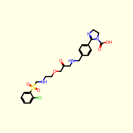 O=C(CNCc1ccc(C2=NCCN2C(=O)O)cc1)COCCNCS(=O)(=O)c1ccccc1Cl